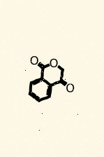 O=C1COC(=O)c2ccccc21